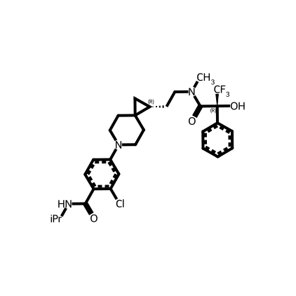 CC(C)NC(=O)c1ccc(N2CCC3(CC2)C[C@@H]3CCN(C)C(=O)[C@](O)(c2ccccc2)C(F)(F)F)cc1Cl